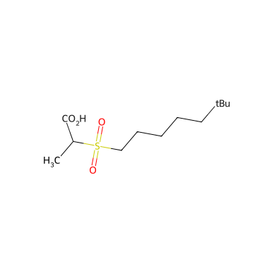 CC(C(=O)O)S(=O)(=O)CCCCCC(C)(C)C